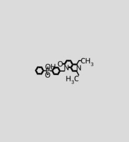 CCc1cc2c(ccc(=O)n2Cc2ccc(P(=O)(O)c3ccccc3)cc2)c(CC)n1